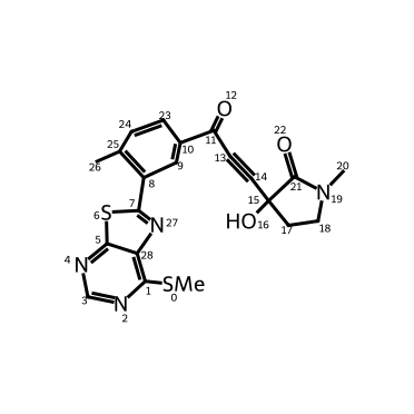 CSc1ncnc2sc(-c3cc(C(=O)C#CC4(O)CCN(C)C4=O)ccc3C)nc12